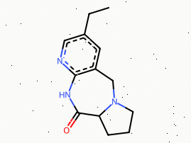 CCc1cnc2c(c1)CN1CCCC1C(=O)N2